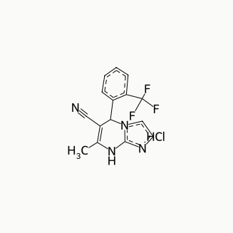 CC1=C(C#N)C(c2ccccc2C(F)(F)F)n2ccnc2N1.Cl